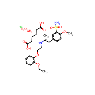 CCOc1ccccc1OCCN[C@H](C)Cc1ccc(OC)c(S(N)(=O)=O)c1.Cl.O.O.O=C(O)CCCCC(=O)O